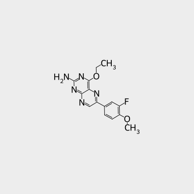 CCOc1nc(N)nc2ncc(-c3ccc(OC)c(F)c3)nc12